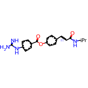 CC(C)NC(=O)/C=C/c1ccc(OC(=O)c2ccc(NC(=N)N)cc2)cc1